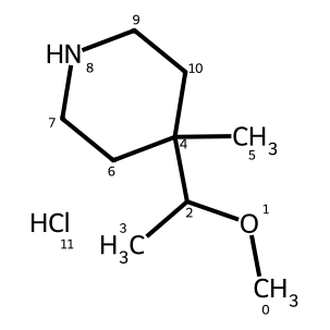 COC(C)C1(C)CCNCC1.Cl